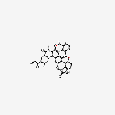 C=CC(=O)N1CC2C(=O)N(C)c3c(c4cc(Cl)c(-c5c(C)ccc6[nH]c(=O)n(C)c56)c(F)c4n(-c4c(C(C)C)ncnc4C(C)C)c3=O)N2CC1C